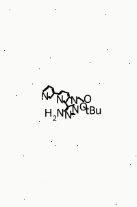 CC(C)(C)OC(=O)Cn1c2ccc(-c3cccnc3)nc2c2c(N)ncnc21